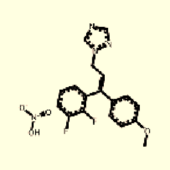 COc1ccc(C(=CCn2cncn2)c2cccc(F)c2F)cc1.O=[N+]([O-])O